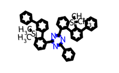 C[Si]1(C)c2cccc(-c3nc(-c4ccccc4)nc(-c4cccc5c4-c4cccc(-c6ccccc6)c4[Si]5(C)C)n3)c2-c2cccc(-c3ccccc3)c21